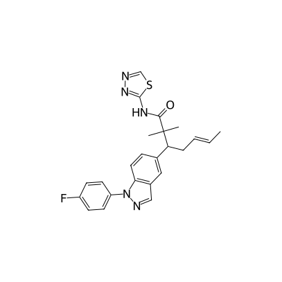 CC=CCC(c1ccc2c(cnn2-c2ccc(F)cc2)c1)C(C)(C)C(=O)Nc1nncs1